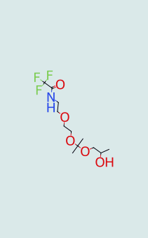 CC(O)COC(C)(C)OCCOCCNC(=O)C(F)(F)F